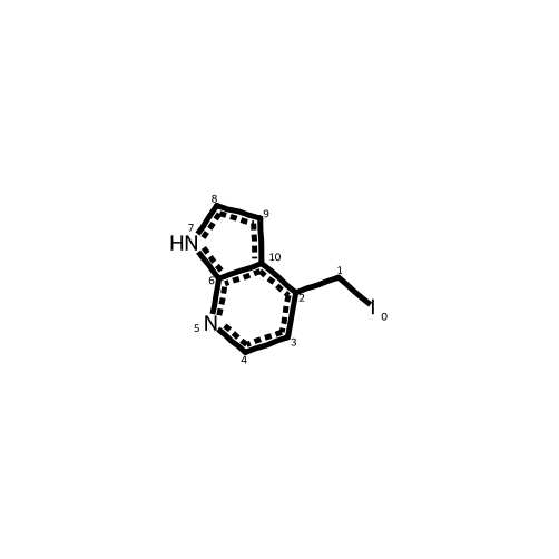 ICc1ccnc2[nH]ccc12